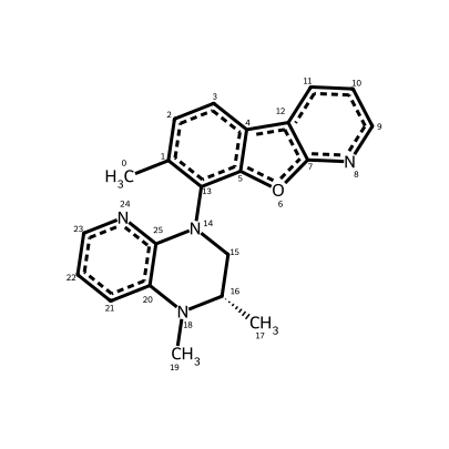 Cc1ccc2c(oc3ncccc32)c1N1C[C@H](C)N(C)c2cccnc21